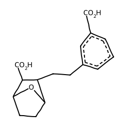 O=C(O)c1cccc(CCC2C3CCC(O3)C2C(=O)O)c1